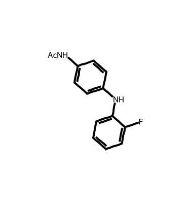 CC(=O)Nc1ccc(Nc2cc[c]cc2F)cc1